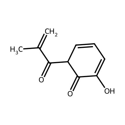 C=C(C)C(=O)C1C=CC=C(O)C1=O